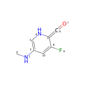 CNC1=CNC(=C=O)C(F)=C1